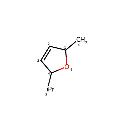 CC1C=CC(C(C)C)O1